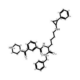 O=C(NC(CCCCNC1CC1c1ccccc1)C(=O)NCc1ccccc1)c1cccc(C(=O)N2CCNCC2)c1